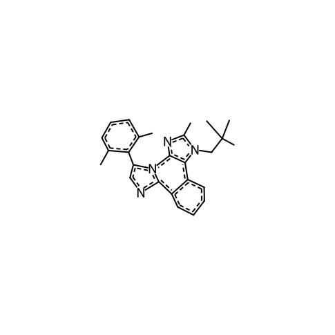 Cc1cccc(C)c1-c1cnc2c3ccccc3c3c(nc(C)n3CC(C)(C)C)n12